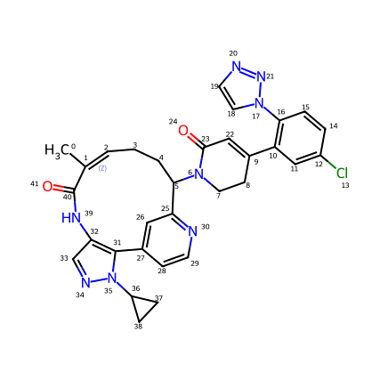 C/C1=C/CCC(N2CCC(c3cc(Cl)ccc3-n3ccnn3)=CC2=O)c2cc(ccn2)-c2c(cnn2C2CC2)NC1=O